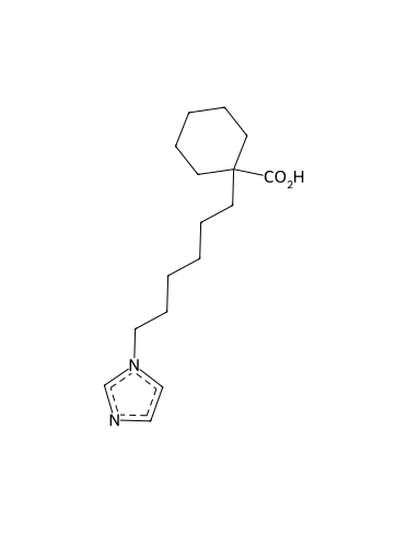 O=C(O)C1(CCCCCCn2ccnc2)CCCCC1